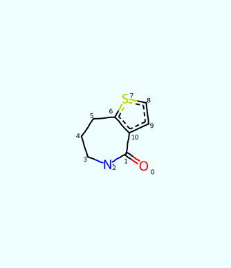 O=C1[N]CCCc2sccc21